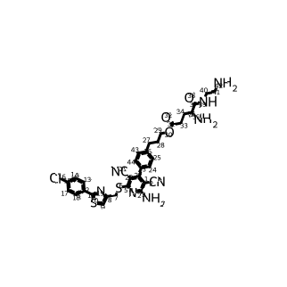 N#Cc1c(N)nc(SCc2csc(-c3ccc(Cl)cc3)n2)c(C#N)c1-c1ccc(CCCOC(=O)CC[C@H](N)C(=O)NCCN)cc1